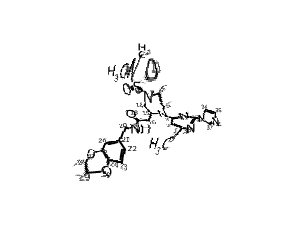 Cc1cc(N2CCN(S(=O)(=O)N(C)C)CC2CC(=O)NCc2ccc3c(c2)OCCO3)nc(-n2ccnc2)n1